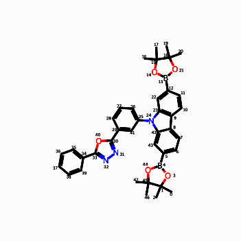 CC1(C)OB(c2ccc3c4ccc(B5OC(C)(C)C(C)(C)O5)cc4n(-c4cccc(-c5nnc(-c6ccccc6)o5)c4)c3c2)OC1(C)C